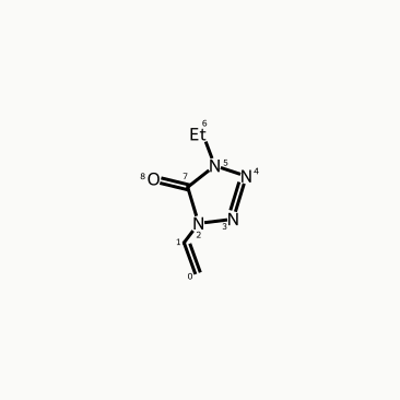 C=Cn1nnn(CC)c1=O